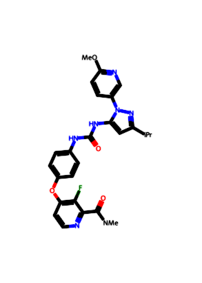 CNC(=O)c1nccc(Oc2ccc(NC(=O)Nc3cc(C(C)C)nn3-c3ccc(OC)nc3)cc2)c1F